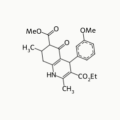 CCOC(=O)C1=C(C)NC2=C(C(=O)C(C(=O)OC)C(C)C2)C1c1cccc(OC)c1